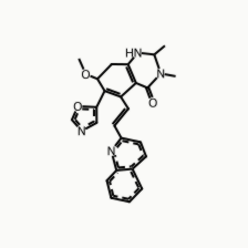 COC1CC2=C(C(=O)N(C)C(C)N2)C(C=Cc2ccc3ccccc3n2)=C1c1cnco1